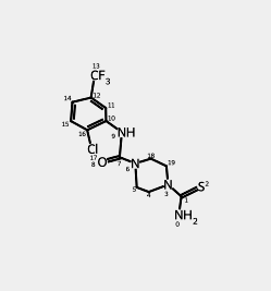 NC(=S)N1CCN(C(=O)Nc2cc(C(F)(F)F)ccc2Cl)CC1